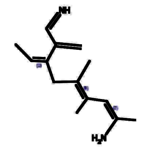 C=C(C=N)/C(=C\C)C/C(C)=C(C)/C=C(/C)N